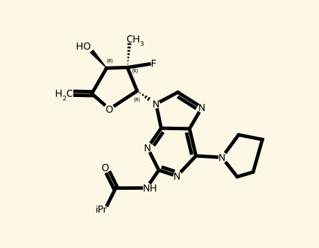 C=C1O[C@@H](n2cnc3c(N4CCCC4)nc(NC(=O)C(C)C)nc32)[C@](C)(F)[C@@H]1O